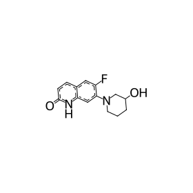 O=c1ccc2cc(F)c(N3CCCC(O)C3)cc2[nH]1